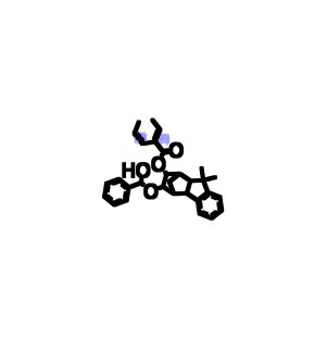 C/C=C\C(=C/C)C(=O)OC1C2CC(C1OC(O)c1ccccc1)C1c3ccccc3C(C)(C)C21